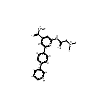 COC(=O)c1cc(NC(=O)CN(C)C)nc(-c2ccc(-c3cccnc3)cc2)c1